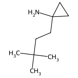 CC(C)(C)CCC1(N)CC1